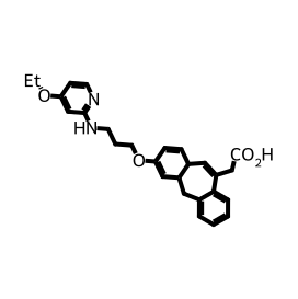 CCOc1ccnc(NCCCOC2=CC3Cc4ccccc4C(CC(=O)O)=CC3C=C2)c1